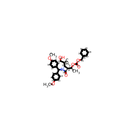 COc1ccc(C(c2ccc(OC)cc2)N2C(=O)[C@H]([C@@H](C)OC(=O)OCc3ccccc3)[C@H]2[C@H](C)CO)cc1